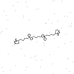 O=C(CCCCC1CCSS1)OCCCCOC(=O)CCCCC1CCSS1